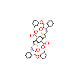 O=C1C(=O)c2ccccc2/C1=C/c1cc2c(C(=O)OCc3ccccc3)c3sc(/C=C4\C(=O)C(=O)c5ccccc54)cc3c(C(=O)OCc3ccccc3)c2s1